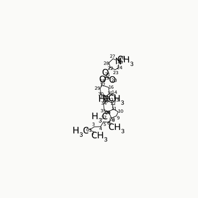 CC(C)CCCC(C)[C@@H]1CCC2C3C=CC4CC(OC(=O)OC5CCN(C)CC5)CC[C@@]4(C)[C@@H]3CC[C@]21C